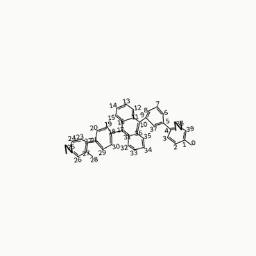 Cc1ccc(-c2cccc(-c3c4ccccc4c(-c4ccc(-c5ccncc5C)cc4)c4ccccc34)c2)nc1